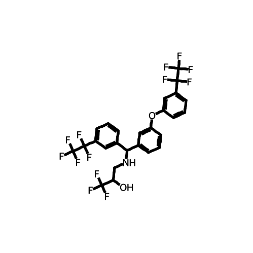 OC(CNC(c1cccc(Oc2cccc(C(F)(F)C(F)(F)F)c2)c1)c1cccc(C(F)(F)C(F)(F)F)c1)C(F)(F)F